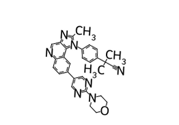 Cc1nc2cnc3ccc(-c4cnc(N5CCOCC5)nc4)cc3c2n1-c1ccc(C(C)(C)C#N)cc1